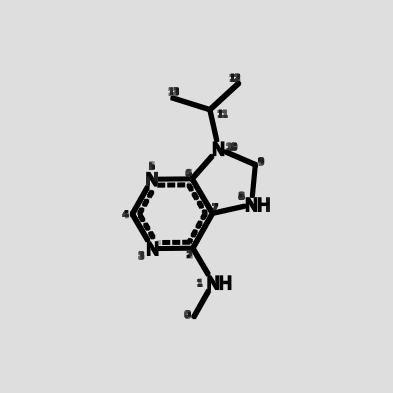 CNc1ncnc2c1NCN2C(C)C